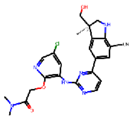 CN(C)C(=O)COc1ncc(Cl)cc1Nc1nccc(-c2cc(C#N)c3c(c2)[C@@](C)(CO)CN3)n1